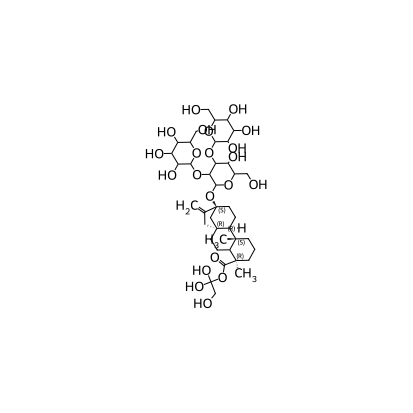 C=C1C[C@@]23CCC4[C@](C)(C(=O)OC(O)(O)CO)CCC[C@@]4(C)[C@@H]2CC[C@]1(OC1OC(CO)C(O)C(OC2OC(CO)C(O)C(O)C2O)C1OC1OC(CO)C(O)C(O)C1O)C3